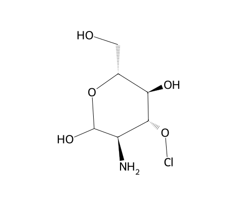 N[C@H]1C(O)O[C@H](CO)[C@@H](O)[C@@H]1OCl